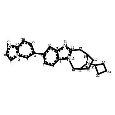 c1cn2cc(-c3ccc4c(c3)nc3n4CC4CCC(C3)N4C3CCC3)ccc2n1